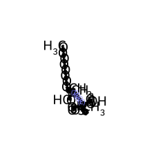 COCCOCCOCCOCCOCCOCCOCCOc1ccc2c(c1)C(C)(C)/C(=C/C=C/C=C/C=C/C1=[N+](CCCS(=O)(=O)[O-])c3sc4ccccc4c3C1(C)CCCS(=O)(=O)O)N2CCC(=O)O